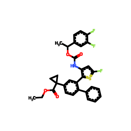 CCOC(=O)C1(c2ccc(-c3ccccc3)c(-c3sc(F)cc3NC(=O)OC(C)c3ccc(F)c(F)c3)c2)CC1